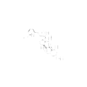 CC(O)(CCc1cccc(Cl)n1)[C@H]1CC[C@H]2[C@@H]3CCC4C[C@@H](O)CC[C@]4(C)[C@H]3CC[C@]12C